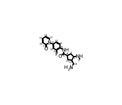 CNC1CC(C(=O)Nc2ccc(-n3ccccc3=O)cc2F)CC1CN